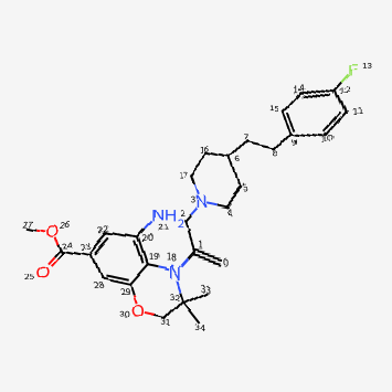 C=C(CN1CCC(CCc2ccc(F)cc2)CC1)N1c2c(N)cc(C(=O)OC)cc2OCC1(C)C